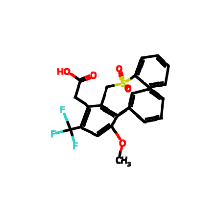 COc1cc(C(F)(F)F)c(CC(=O)O)c(CS(=O)(=O)c2ccccc2)c1-c1ccccc1